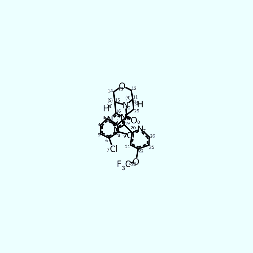 O=C(c1cccc(Cl)c1Cl)N1[C@H]2COC[C@@H]1c1nnc(-c3cc(OC(F)(F)F)ccn3)n1C2